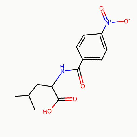 CC(C)CC(NC(=O)c1ccc([N+](=O)[O-])cc1)C(=O)O